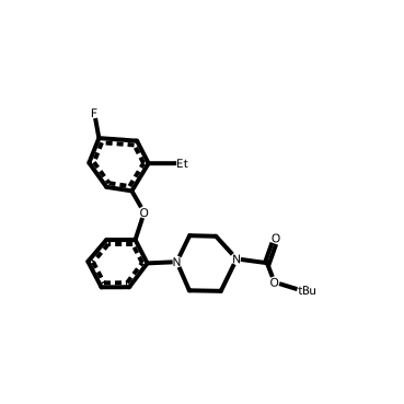 CCc1cc(F)ccc1Oc1ccccc1N1CCN(C(=O)OC(C)(C)C)CC1